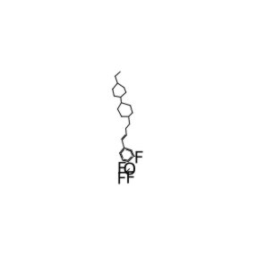 CCC1CCC(C2CCC(CCC=Cc3ccc(OC(F)(F)F)c(F)c3)CC2)CC1